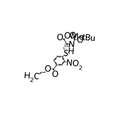 C=CCOC(=O)c1ccc(SC[C@@H](NC(=O)OC(C)(C)C)C(=O)OC)c([N+](=O)[O-])c1